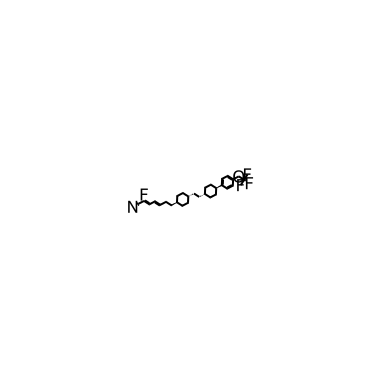 N#C/C(F)=C/C=C/CC[C@H]1CC[C@H](CC[C@H]2CC[C@H](c3ccc(OC(F)(F)F)cc3)CC2)CC1